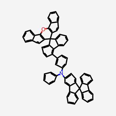 c1ccc(N(c2cccc(-c3cccc4c3-c3ccccc3C43c4ccc5ccccc5c4Oc4c3ccc3ccccc43)c2)c2ccc3c(c2)-c2ccccc2C32c3ccccc3-c3ccccc32)cc1